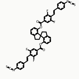 O=C(Oc1cccc2c1C1(CC2)CCc2cccc(OC(=O)c3cc(F)c(C=Cc4ccc(N=C=S)cc4)c(F)c3)c21)c1cc(F)c(C=Cc2ccc(N=C=S)cc2)c(F)c1